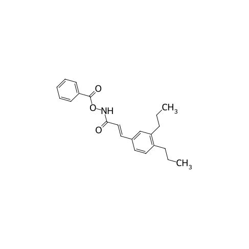 CCCc1ccc(C=CC(=O)NOC(=O)c2ccccc2)cc1CCC